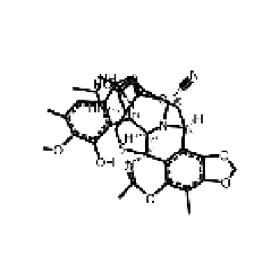 C=C(O)[C@]1(NC(C)N)CS[C@@H]2c3c(OC(C)=O)c(C)c4c(c3[C@H](COC1=O)N1[C@@H]2C2c3c(cc(C)c(OC)c3O)C3(C)CC([C@@H]1C#N)N23)OCO4